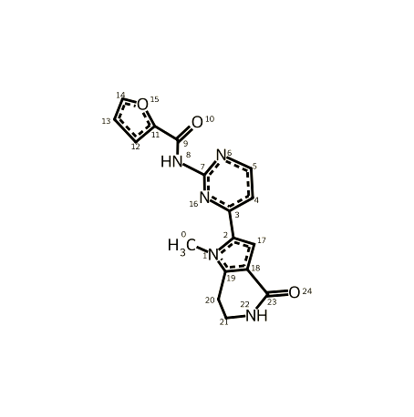 Cn1c(-c2ccnc(NC(=O)c3ccco3)n2)cc2c1CCNC2=O